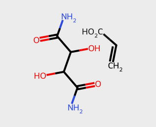 C=CC(=O)O.NC(=O)C(O)C(O)C(N)=O